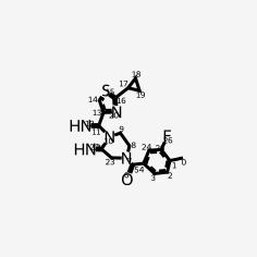 Cc1ccc(C(=O)N2CCN(C(=N)c3csc(C4CC4)n3)C(=N)C2)cc1F